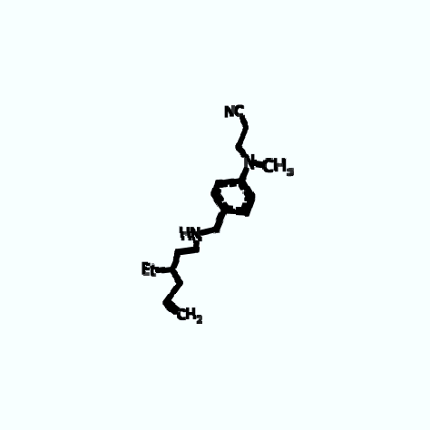 C=CCC(CC)CCNCc1ccc(N(C)CCC#N)cc1